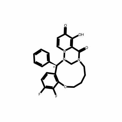 O=C1c2c(O)c(=O)ccn2N2CN1CCCCOc1c(ccc(F)c1F)[C@H]2c1ccccc1